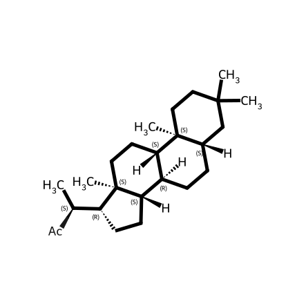 CC(=O)[C@@H](C)[C@H]1CC[C@H]2[C@@H]3CC[C@H]4CC(C)(C)CC[C@]4(C)[C@H]3CC[C@]12C